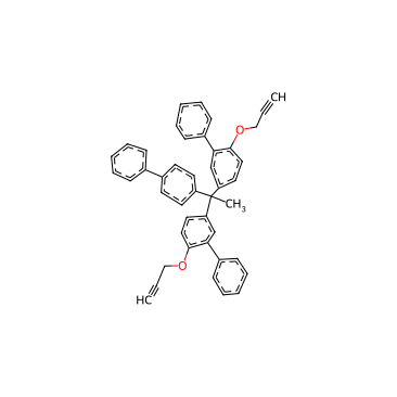 C#CCOc1ccc(C(C)(c2ccc(-c3ccccc3)cc2)c2ccc(OCC#C)c(-c3ccccc3)c2)cc1-c1ccccc1